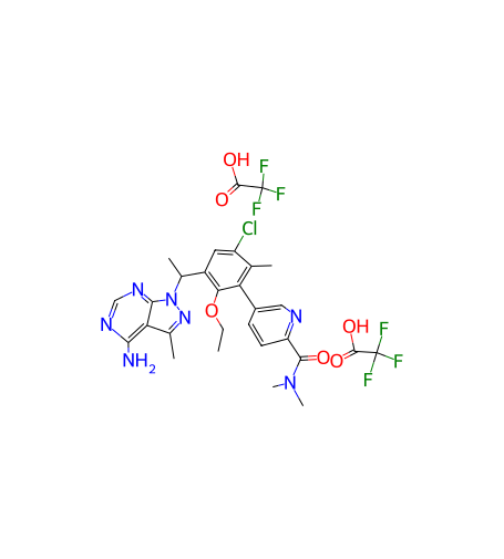 CCOc1c(C(C)n2nc(C)c3c(N)ncnc32)cc(Cl)c(C)c1-c1ccc(C(=O)N(C)C)nc1.O=C(O)C(F)(F)F.O=C(O)C(F)(F)F